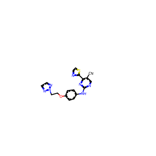 N#Cc1cnc(Nc2ccc(OCCn3nccn3)cc2)nc1-c1nccs1